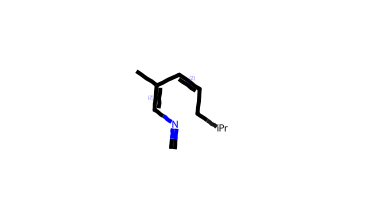 C=N/C=C(C)\C=C/CC(C)C